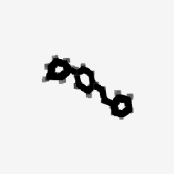 c1ccc(CCN2CCN(c3ccccc3)CC2)cc1